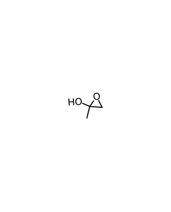 CC1(O)CO1